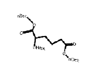 CCCCCCCCCCOC(=O)C(CCCCCC)CCCC(=O)OCCCCCCCC